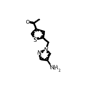 CC(=O)c1csc(Cn2cc(N)cn2)c1